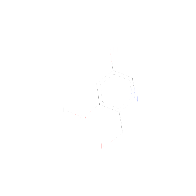 Bc1cnc(CO)c(OCC)c1